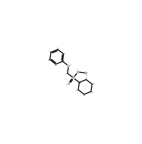 CCOP(=O)(COc1ccccc1)C1CCCCC1